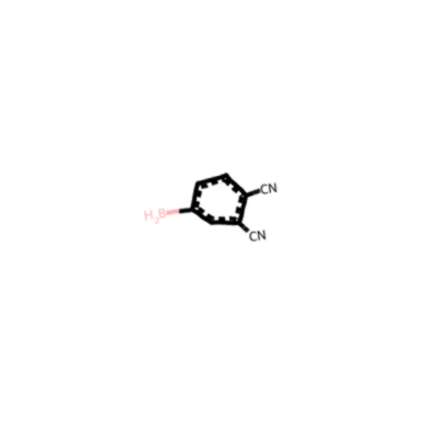 Bc1ccc(C#N)c(C#N)c1